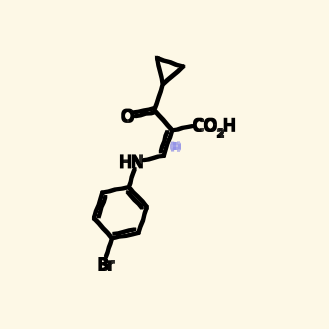 O=C(O)/C(=C/Nc1ccc(Br)cc1)C(=O)C1CC1